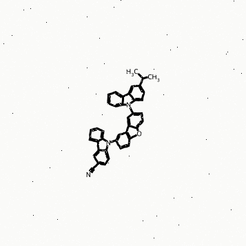 CC(C)c1ccc2c(c1)c1ccccc1n2-c1ccc2oc3ccc(-n4c5ccccc5c5cc(C#N)ccc54)cc3c2c1